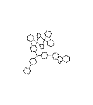 c1ccc(-c2ccc(N(c3ccc(-c4ccc5c(c4)oc4ccccc45)cc3)c3ccc4c(c3)C3(c5ccccc5-4)c4ccccc4C(c4ccccc4)(c4ccccc4)c4ccccc43)cc2)cc1